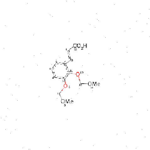 COCOc1cccc(/C=C/C(=O)O)c1OCOC